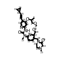 COCC(C)Oc1cc(NC(=O)N(C)c2ccc(CN3CCN(C)CC3=O)c(C=O)n2)ncc1C#CC1CC1